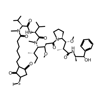 CC[C@H](C)[C@@H]([C@@H](CC(=O)N1CCC[C@H]1[C@H](OC)[C@@H](C)C(=O)N[C@H](C)[C@@H](O)c1ccccc1)OC)N(C)C(=O)[C@@H](NC(=O)[C@H](C(C)C)N(C)C(=O)CCCCCC1C(=O)CC(SI)C1=O)C(C)C